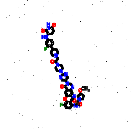 CO[C@H]1CCN(S(=O)(=O)Nc2ccc(F)c(Oc3ccc4ncn(-c5cnc(N6CCN(C(=O)CN7CCC(c8ccc(N[C@@H]9CCC(=O)NC9=O)cc8F)CC7)CC6)nc5)c(=O)c4c3)c2C#N)C1